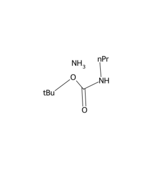 CCCNC(=O)OC(C)(C)C.N